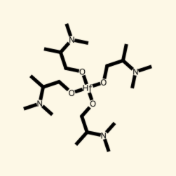 CC(C[O][Hf]([O]CC(C)N(C)C)([O]CC(C)N(C)C)[O]CC(C)N(C)C)N(C)C